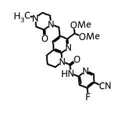 COC(OC)c1nc2c(cc1CN1CCN(C)CC1=O)CCCN2C(=O)Nc1cc(F)c(C#N)cn1